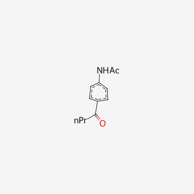 CCCC(=O)c1ccc(NC(C)=O)cc1